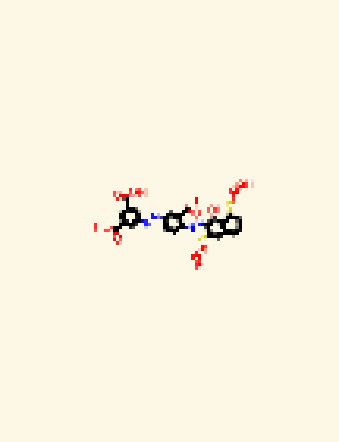 O=C(O)c1cc(/N=N/c2ccc(/N=N/c3c(SOOO)cc4cccc(SOOO)c4c3O)c(C(=O)O)c2)cc(C(=O)O)c1